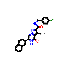 CC(C)c1c(C(=O)N[C@H](C)c2ccc(F)cc2)nn2cc(-c3ccc4ccccc4c3)[nH]c(=O)c12